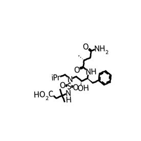 CC(C)CN(C[C@@H](O)[C@H](Cc1ccccc1)NC(=O)[C@H](C)CC(N)=O)S(=O)(=O)NC(C)(C)CC(=O)O